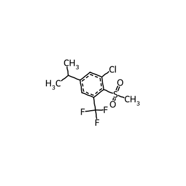 CC(C)c1cc(Cl)c(S(C)(=O)=O)c(C(F)(F)F)c1